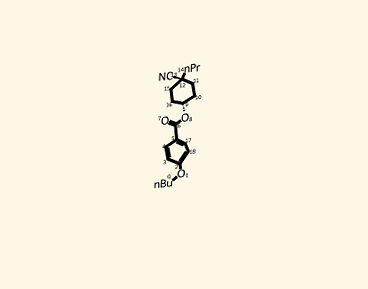 CCCCOc1ccc(C(=O)O[C@H]2CC[C@@](C#N)(CCC)CC2)cc1